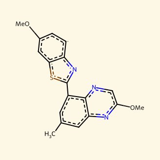 COc1c[c]c2nc(-c3cc(C)cc4nc(OC)cnc34)sc2c1